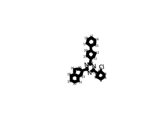 Clc1ccccc1-c1nc(-c2ccc(-c3ccccc3)cc2)nc(-c2ccc3ccccc3c2)n1